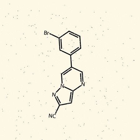 N#Cc1cc2ncc(-c3cccc(Br)c3)cn2n1